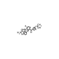 C[C@@H](O)Cn1cc(Nc2ncc(F)c(N[C@@H]3[C@H](C(N)=O)[C@H]4C=C[C@@H]3C4)n2)cn1